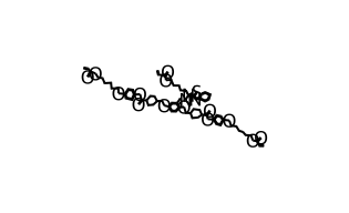 C=CC(=O)OCCCCCCOc1ccc(OC(=O)C2CCC(COc3ccc(OCC4CCC(C(=O)Oc5ccc(OCCCCCCOC(=O)C=C)cc5)CC4)c(/C=N/N(CCCCCOC(=O)C=C)c4nc5ccccc5s4)c3)CC2)cc1